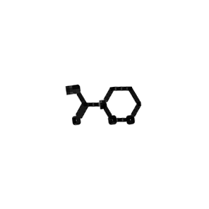 O=C(O)B1CCCOO1